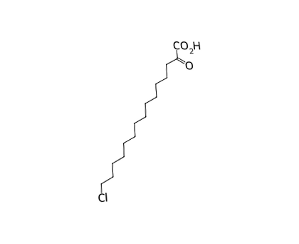 O=C(O)C(=O)CCCCCCCCCCCCCCl